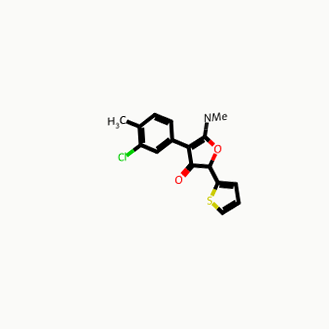 CNC1=C(c2ccc(C)c(Cl)c2)C(=O)C(c2cccs2)O1